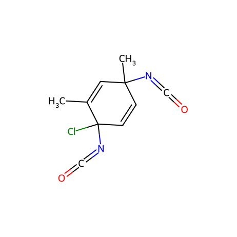 CC1=CC(C)(N=C=O)C=CC1(Cl)N=C=O